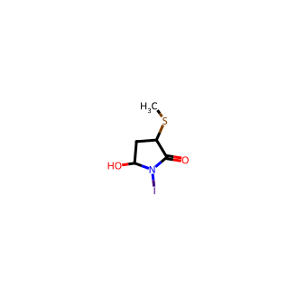 CSC1CC(O)N(I)C1=O